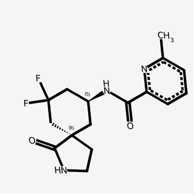 Cc1cccc(C(=O)N[C@@H]2CC(F)(F)C[C@@]3(CCNC3=O)C2)n1